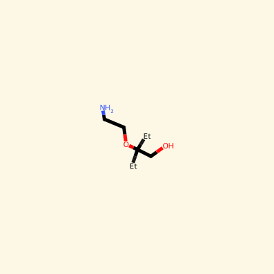 CCC(CC)(CO)OCCN